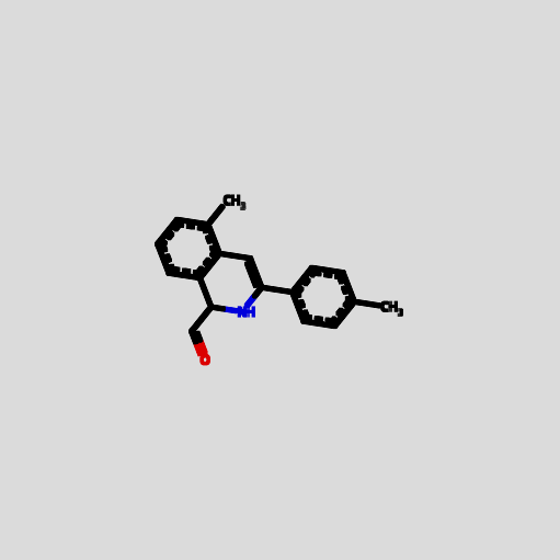 Cc1ccc(C2=Cc3c(C)cccc3C(C=O)N2)cc1